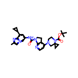 Cc1cn2cc(NC(=O)N3CCc4c(N5CCN(C(=O)OC(C)(C)C)C6(CC6)C5)ccnc43)cc(C3CC3)c2n1